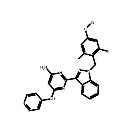 CCOc1cc(F)c(Cn2nc(-c3nc(N)cc(Nc4ccncc4)n3)c3ccccc32)c(F)c1